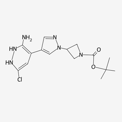 CC(C)(C)OC(=O)N1CC(n2cc(C3=C(N)NNC(Cl)=C3)cn2)C1